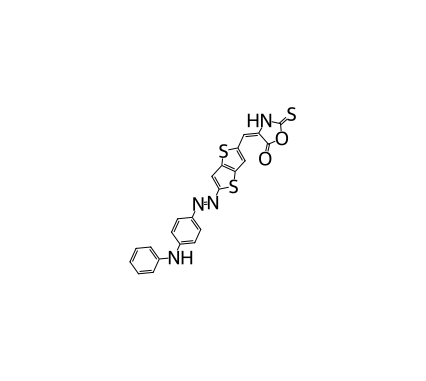 O=C1OC(=S)N/C1=C/c1cc2sc(/N=N/c3ccc(Nc4ccccc4)cc3)cc2s1